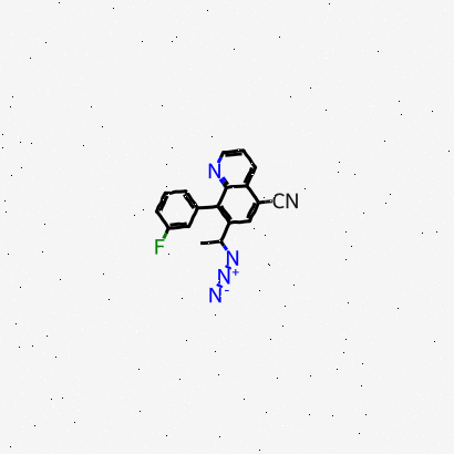 CC(N=[N+]=[N-])c1cc(C#N)c2cccnc2c1-c1cccc(F)c1